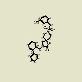 O=C1OC2(CCN(S(=O)(=O)Cc3cccc(Cl)c3)CC2)CN1Cc1ccccc1-c1ccccc1